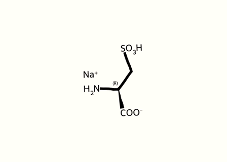 N[C@@H](CS(=O)(=O)O)C(=O)[O-].[Na+]